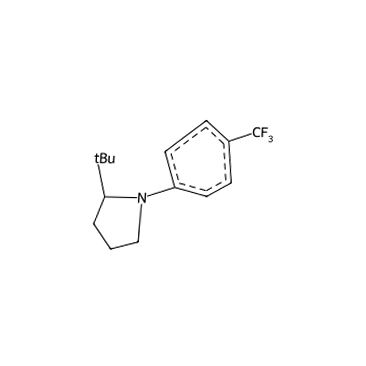 CC(C)(C)C1CCCN1c1ccc(C(F)(F)F)cc1